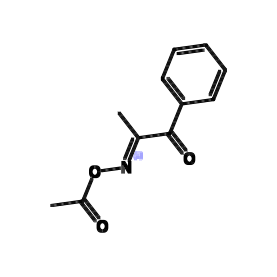 CC(=O)O/N=C(\C)C(=O)c1ccccc1